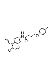 C=CCN1C(=O)COc2cc(NC(=O)CCCOc3ccc(C)cc3)ccc21